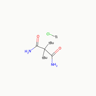 CC(C)(C)C(C(N)=O)(C(N)=O)C(C)(C)C.[Cl][Ti]